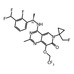 Cc1nc(N[C@H](C)c2cccc(C(F)F)c2F)c2cn(C3(CF)CC3)c(=O)c(OCC(F)(F)F)c2n1